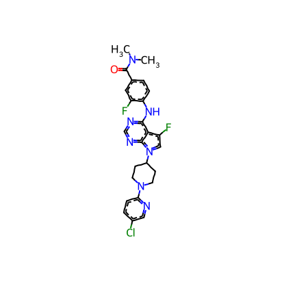 CN(C)C(=O)c1ccc(Nc2ncnc3c2c(F)cn3C2CCN(c3ccc(Cl)cn3)CC2)c(F)c1